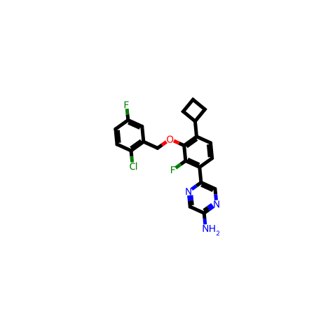 Nc1cnc(-c2ccc(C3CCC3)c(OCc3cc(F)ccc3Cl)c2F)cn1